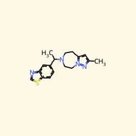 Cc1cc2n(n1)CCN(C(C)c1ccc3scnc3c1)CC2